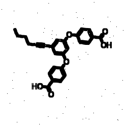 CCCCC#Cc1cc(Oc2ccc(C(=O)O)cc2)cc(Oc2ccc(C(=O)O)cc2)c1